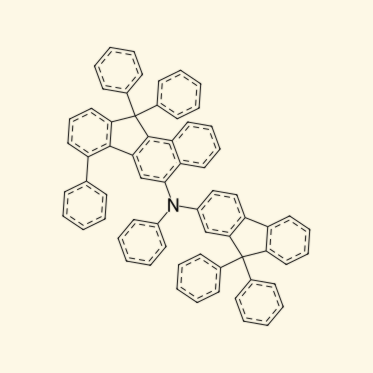 c1ccc(-c2cccc3c2-c2cc(N(c4ccccc4)c4ccc5c(c4)C(c4ccccc4)(c4ccccc4)c4ccccc4-5)c4ccccc4c2C3(c2ccccc2)c2ccccc2)cc1